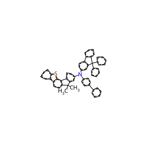 CC1(C)c2cc(N(c3ccc(-c4ccccc4)cc3)c3ccc4c(c3)C(c3ccccc3)(c3ccccc3)c3ccccc3-4)ccc2-c2c1ccc1c2sc2ccccc21